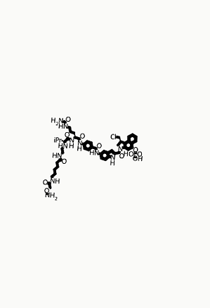 CC(C)[C@H](NCCNC(=O)CCCCCNC(=O)CON)C(=O)N[C@@H](CCCNC(N)=O)C(=O)Nc1ccc(C(=O)Nc2ccc3[nH]c(C(=O)N4C[C@@H](CCl)c5c4cc(OP(=O)(O)O)c4ccccc54)cc3c2)cc1